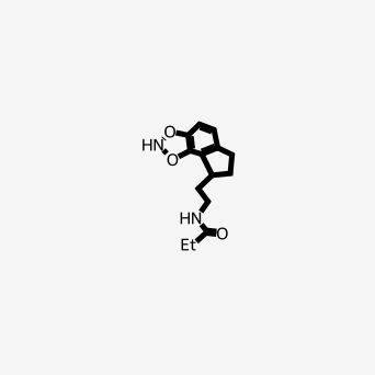 CCC(=O)NCCC1CCc2ccc3c(c21)ONO3